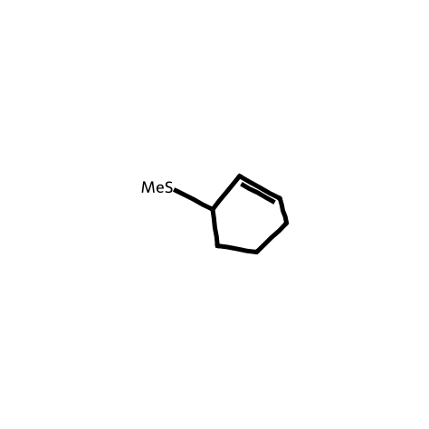 CSC1C=CCCC1